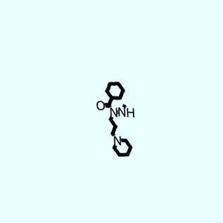 CNN(CCCN1CCCCC1)C(=O)C1CCCCC1